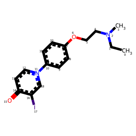 CCN(C)CCOc1ccc(-n2ccc(=O)c(I)c2)cc1